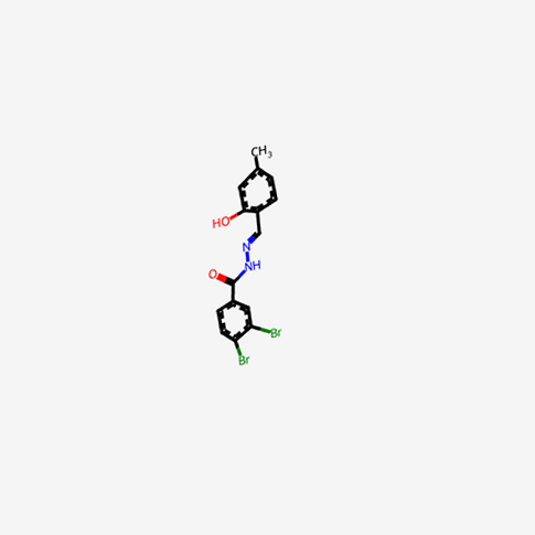 Cc1ccc(/C=N/NC(=O)c2ccc(Br)c(Br)c2)c(O)c1